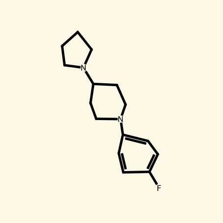 Fc1ccc(N2CCC(N3CCCC3)CC2)cc1